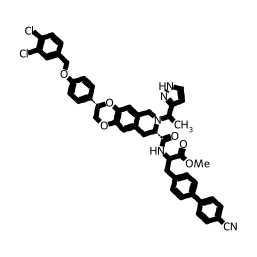 COC(=O)C(Cc1ccc(-c2ccc(C#N)cc2)cc1)NC(=O)[C@@H]1Cc2cc3c(cc2CN1C(C)c1cc[nH]n1)O[C@@H](c1ccc(OCc2ccc(Cl)c(Cl)c2)cc1)CO3